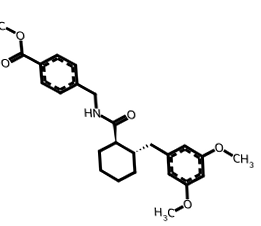 COC(=O)c1ccc(CNC(=O)[C@@H]2CCCC[C@H]2Cc2cc(OC)cc(OC)c2)cc1